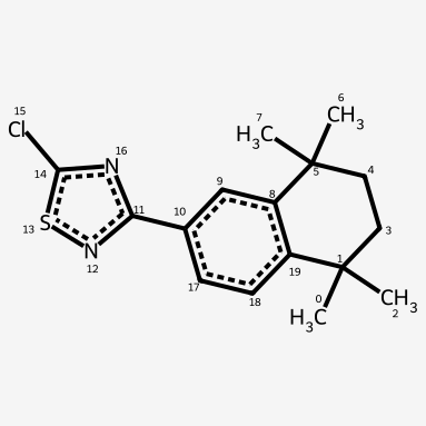 CC1(C)CCC(C)(C)c2cc(-c3nsc(Cl)n3)ccc21